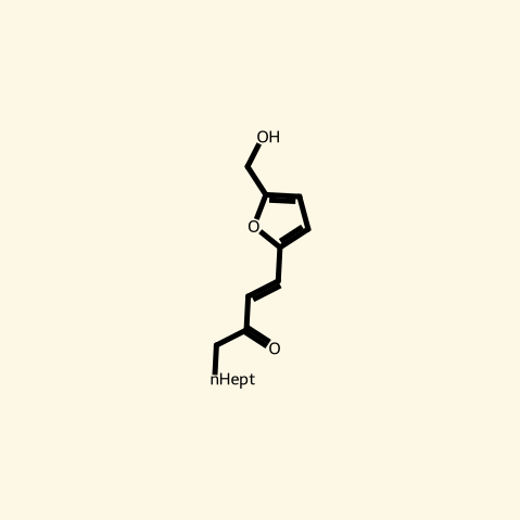 CCCCCCCCC(=O)C=Cc1ccc(CO)o1